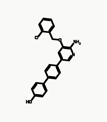 Nc1ncc(-c2ccc(-c3ccc(O)cc3)cc2)cc1OCc1ccccc1Cl